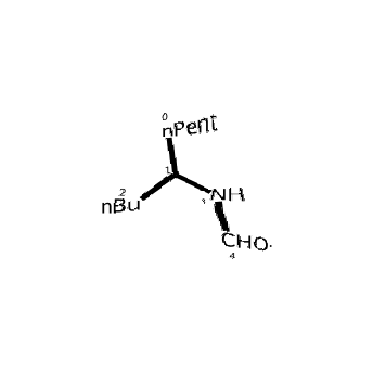 CCCCCC(CCCC)N[C]=O